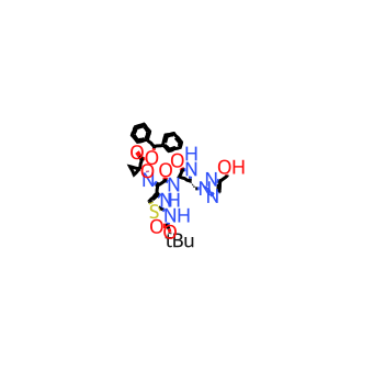 CC(C)(C)OC(=O)Nc1nc(/C(=N/OC2(C(=O)OC(c3ccccc3)c3ccccc3)CC2)C(=O)N[C@@H]2C(=O)N[C@@H]2Cn2ncc(CO)n2)cs1